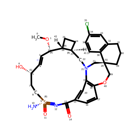 CO[C@H]1/C=C/[C@@H](O)CC[S@](N)(=O)=NC(=O)c2ccc3c(c2)N(C[C@@H]2CC[C@H]21)C[C@@]1(CCCc2cc(Cl)ccc21)CO3